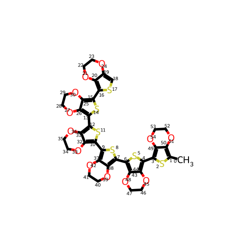 Cc1sc(-c2sc(-c3sc(-c4sc(-c5sc(-c6scc7c6OCCO7)c6c5OCCO6)c5c4OCCO5)c4c3OCCO4)c3c2OCCO3)c2c1OCCO2